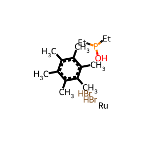 Br.Br.CCP(O)CC.Cc1c(C)c(C)c(C)c(C)c1C.[Ru]